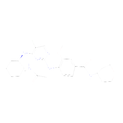 COc1cc(C(=O)NC2CCOCC2)ccc1Nc1ncc(Br)c(N[C@@H]2CCCC[C@H]2NC(C)=O)n1